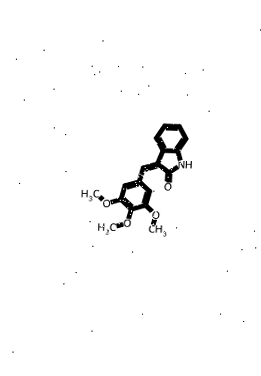 COc1cc(C=C2C(=O)Nc3ccccc32)cc(OC)c1OC